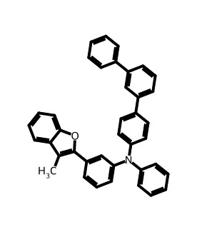 Cc1c(-c2cccc(N(c3ccccc3)c3ccc(-c4cccc(-c5ccccc5)c4)cc3)c2)oc2ccccc12